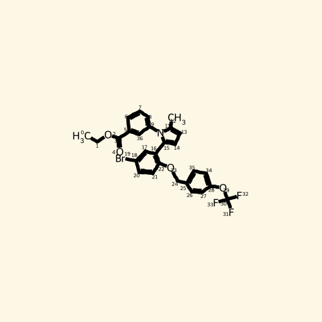 CCOC(=O)c1cccc(-n2c(C)ccc2-c2cc(Br)ccc2OCc2ccc(OC(F)(F)F)cc2)c1